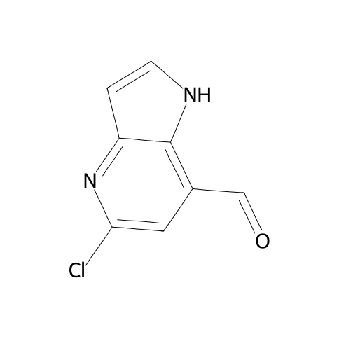 O=Cc1cc(Cl)nc2cc[nH]c12